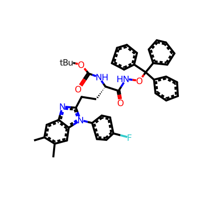 Cc1cc2nc(CC[C@H](NC(=O)OC(C)(C)C)C(=O)NOC(c3ccccc3)(c3ccccc3)c3ccccc3)n(-c3ccc(F)cc3)c2cc1C